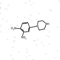 O=[N+]([O-])c1ccc(N2CCNCC2)cc1[N+](=O)[O-]